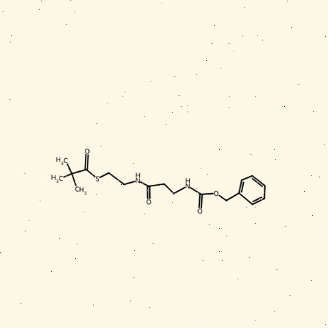 CC(C)(C)C(=O)SCCNC(=O)CCNC(=O)OCc1ccccc1